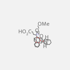 COCCO/N=C(\CCC(=O)O)c1nc2ccccc2n([C@H]2C[C@H]3CCC[C@@H](C2)N3C2CC3CCCCC(C3)C2)c1=O